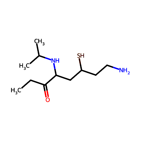 CCC(=O)C(CC(S)CCN)NC(C)C